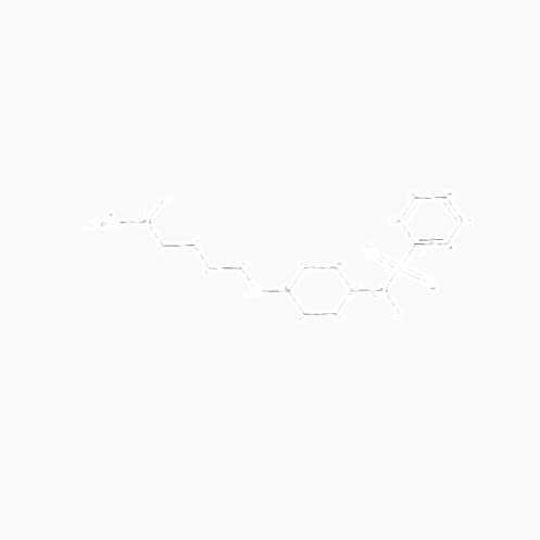 CCCCCN(C)CCCCOC1CCC(N(C)S(=O)(=O)c2ccccc2)CC1